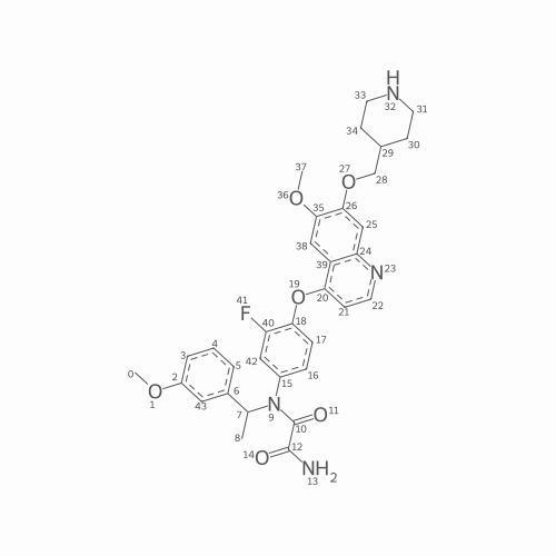 COc1cccc(C(C)N(C(=O)C(N)=O)c2ccc(Oc3ccnc4cc(OCC5CCNCC5)c(OC)cc34)c(F)c2)c1